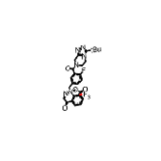 CC(C)(C)c1nnc2n1CCN(C(=O)c1cc(C[N+]3(OC(=O)C(F)(F)F)N=CC(=O)c4ccccc43)ccc1F)C2